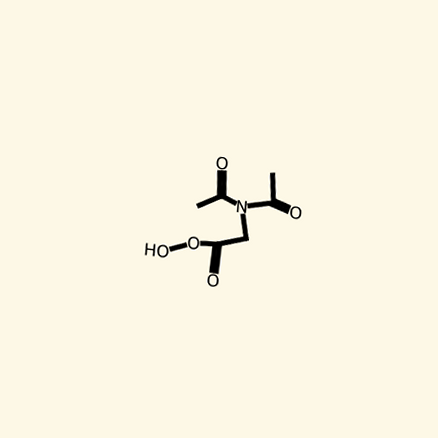 CC(=O)N(CC(=O)OO)C(C)=O